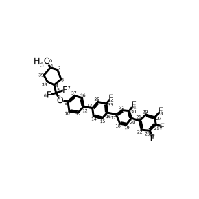 CC1CCC(C(F)(F)Oc2ccc(-c3ccc(-c4ccc(-c5cc(F)c(F)c(F)c5)c(F)c4)c(F)c3)cc2)CC1